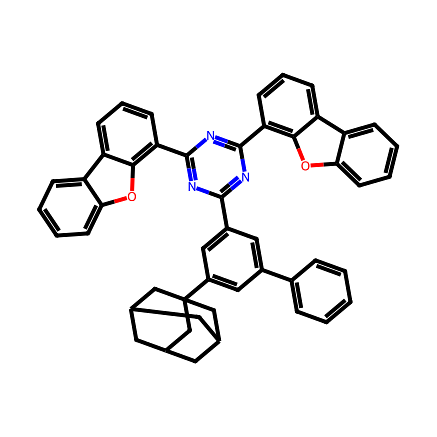 c1ccc(-c2cc(-c3nc(-c4cccc5c4oc4ccccc45)nc(-c4cccc5c4oc4ccccc45)n3)cc(C34CC5CC(CC(C5)C3)C4)c2)cc1